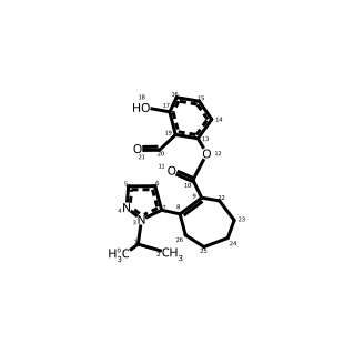 CC(C)n1nccc1C1=C(C(=O)Oc2cccc(O)c2C=O)CCCCC1